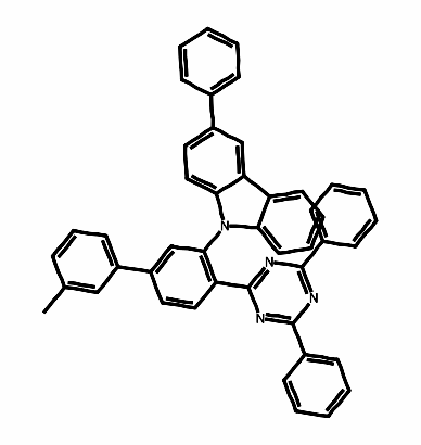 Cc1cccc(-c2ccc(-c3nc(-c4ccccc4)nc(-c4ccccc4)n3)c(-n3c4ccccc4c4cc(-c5ccccc5)ccc43)c2)c1